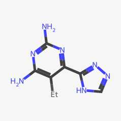 CCc1c(N)nc(N)nc1-c1nnc[nH]1